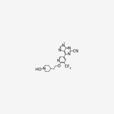 Cn1cnc2c(-c3cnc(OCCC4CCN(O)CC4)c(C(F)(F)F)c3)nc(C#N)nc21